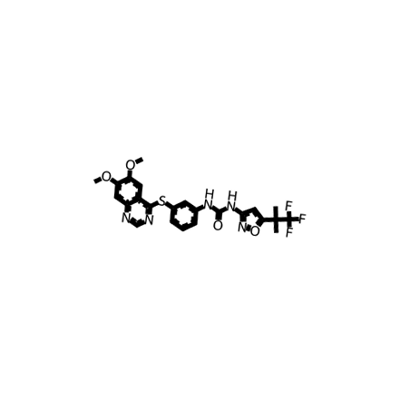 COc1cc2ncnc(Sc3cccc(NC(=O)Nc4cc(C(C)(C)C(F)(F)F)on4)c3)c2cc1OC